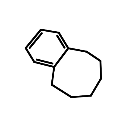 c1ccc2c(c1)CCCCCC2